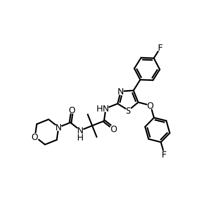 CC(C)(NC(=O)N1CCOCC1)C(=O)Nc1nc(-c2ccc(F)cc2)c(Oc2ccc(F)cc2)s1